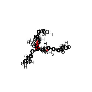 CN1CCN([C@@H]2CCCN(c3cnc(C(N)OC4CN([C@@H]5CCCN(c6cnc(C(N)=O)c(Nc7ccc(C8CCN(c9ccc%10c(c9)C(=O)N(C9CCC(=O)NC9=O)C%10=O)CC8)cc7)n6)C5)C(=O)N4C)c(Nc4ccc(N5CCN(C[C@H]6CCCN(c7ccc8c(c7)C(=O)N(C7CCC(=O)NC7O)C8=O)C6)CC5)cc4)n3)C2)C1O